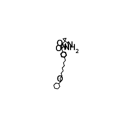 N#CC1(C(=O)N(N)C(=O)c2ccc(CCCCCCCOCC3CCCCC3)cc2)CC1